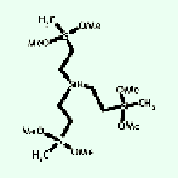 CO[Si](C)(CC[SiH](CC[Si](C)(OC)OC)CC[Si](C)(OC)OC)OC